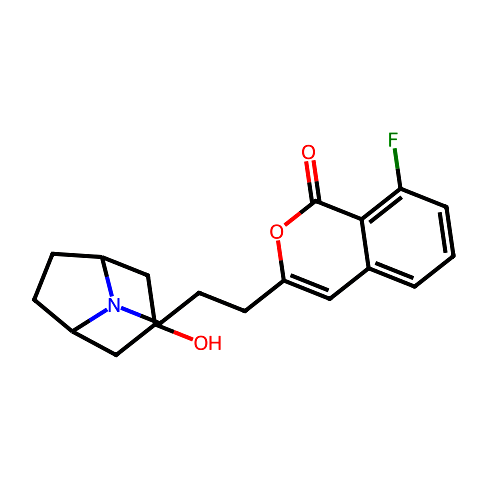 O=c1oc(CCCN2C3CCC2CC(O)C3)cc2cccc(F)c12